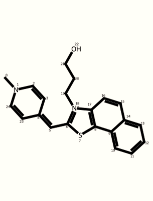 CN1C=CC(=Cc2sc3c4ccccc4ccc3[n+]2CCCO)C=C1